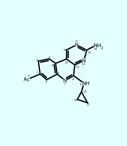 CC(=O)c1ccc2c(c1)nc(NC1CC1)c1nc(N)ncc12